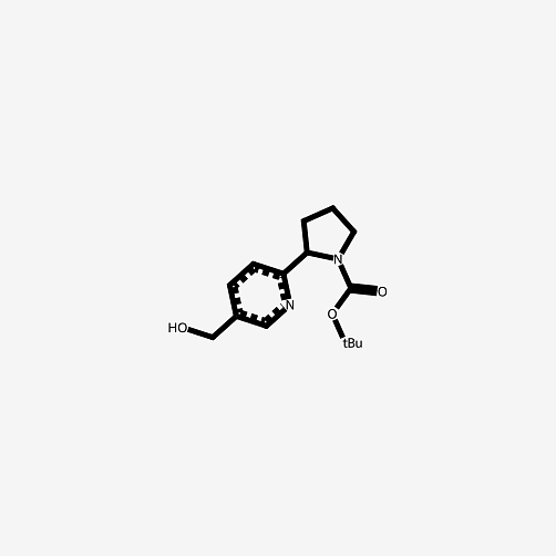 CC(C)(C)OC(=O)N1CCCC1c1ccc(CO)cn1